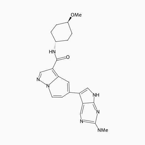 CNc1ncc2c(-c3ccn4ncc(C(=O)N[C@H]5CC[C@H](OC)CC5)c4c3)c[nH]c2n1